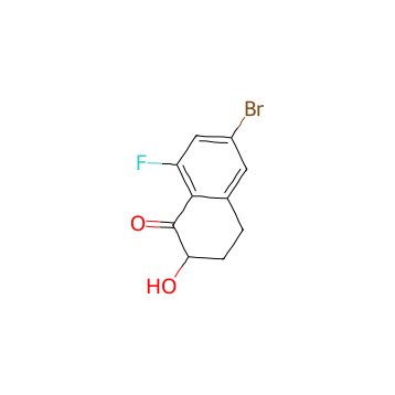 O=C1c2c(F)cc(Br)cc2CCC1O